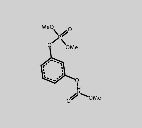 CO[PH](=O)Oc1cccc(OP(=O)(OC)OC)c1